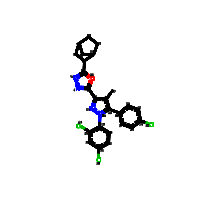 Cc1c(-c2nnc(C3CC4CCC3C4)o2)nn(-c2ccc(Cl)cc2Cl)c1-c1ccc(Cl)cc1